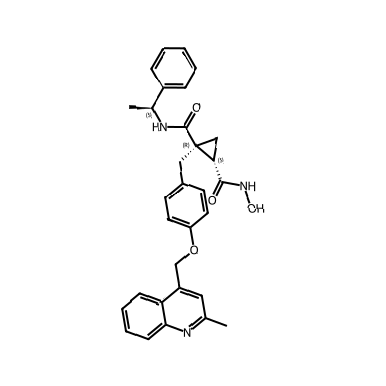 Cc1cc(COc2ccc(C[C@]3(C(=O)N[C@@H](C)c4ccccc4)C[C@@H]3C(=O)NO)cc2)c2ccccc2n1